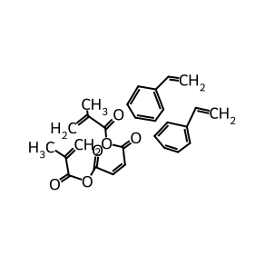 C=C(C)C(=O)OC(=O)/C=C\C(=O)OC(=O)C(=C)C.C=Cc1ccccc1.C=Cc1ccccc1